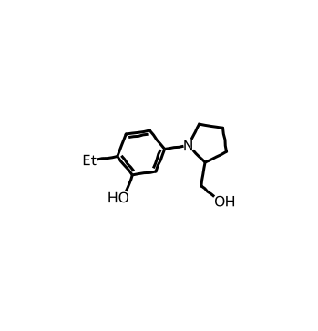 CCc1ccc(N2CCCC2CO)cc1O